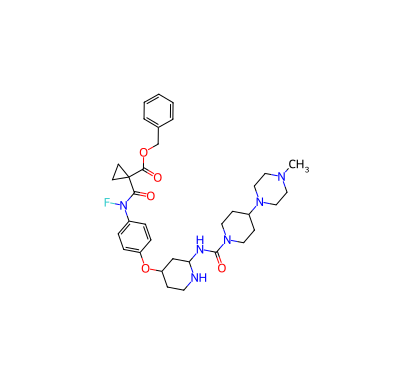 CN1CCN(C2CCN(C(=O)NC3CC(Oc4ccc(N(F)C(=O)C5(C(=O)OCc6ccccc6)CC5)cc4)CCN3)CC2)CC1